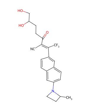 CC1CCN1c1ccc2cc(/C(=C(\C#N)C(=O)CCC(O)CO)C(F)(F)F)ccc2c1